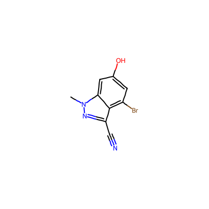 Cn1nc(C#N)c2c(Br)cc(O)cc21